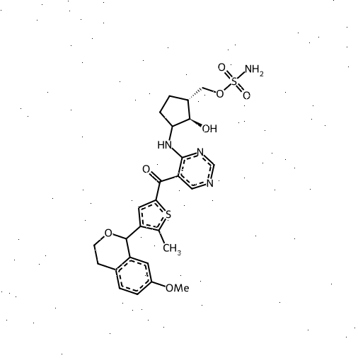 COc1ccc2c(c1)C(c1cc(C(=O)c3cncnc3NC3CC[C@H](COS(N)(=O)=O)[C@H]3O)sc1C)OCC2